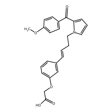 COc1ccc(C(=O)c2cccn2CCC=Cc2cccc(OCC(=O)O)c2)cc1